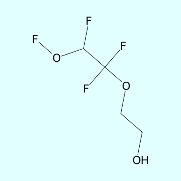 OCCOC(F)(F)C(F)OF